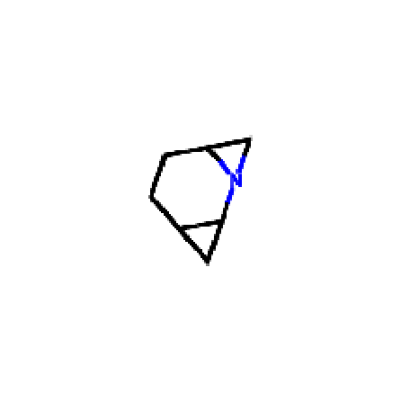 C1CC2CN2C2CC12